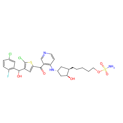 NS(=O)(=O)OCCCCC[C@@H]1C[C@@H](Nc2ccncc2C(=O)c2cc(C(O)c3cc(Cl)ccc3F)c(Cl)s2)C[C@@H]1O